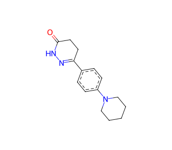 O=C1CCC(c2ccc(N3CCCCC3)cc2)=NN1